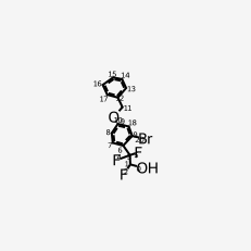 OC(F)C(F)(F)c1ccc(OCc2ccccc2)cc1Br